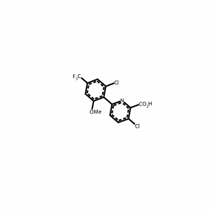 COc1cc(C(F)(F)F)cc(Cl)c1-c1ccc(Cl)c(C(=O)O)n1